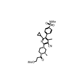 CNS(=O)(=O)c1ccc(-c2c(C3CC3)nc(N3CCN(C(=O)CCOC)[C@H](C)C3)c(C#N)c2C)cc1